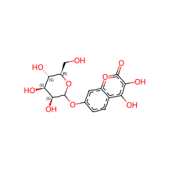 O=c1oc2cc(OC3O[C@H](CO)[C@@H](O)[C@H](O)[C@@H]3O)ccc2c(O)c1O